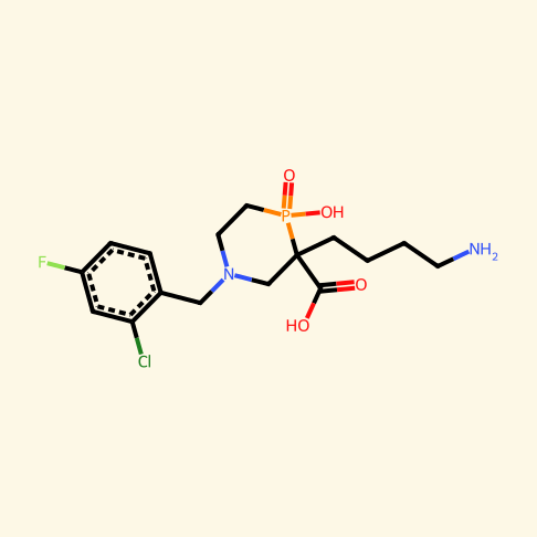 NCCCCC1(C(=O)O)CN(Cc2ccc(F)cc2Cl)CCP1(=O)O